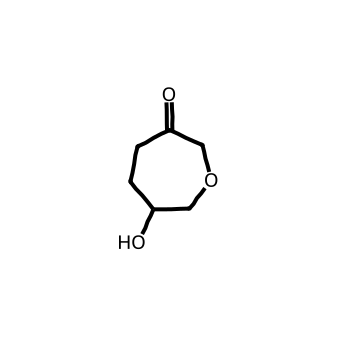 O=C1CCC(O)COC1